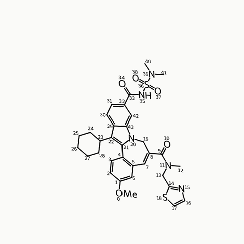 COc1ccc2c(c1)C=C(C(=O)N(C)Cc1nccs1)Cn1c-2c(C2CCCCC2)c2ccc(C(=O)NS(=O)(=O)N(C)C)cc21